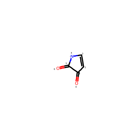 O=C1C=C[N]C1=O